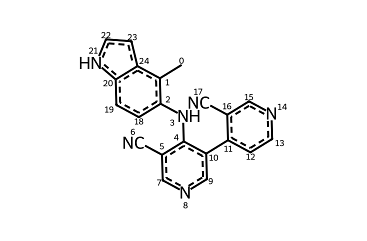 Cc1c(Nc2c(C#N)cncc2-c2ccncc2C#N)ccc2[nH]ccc12